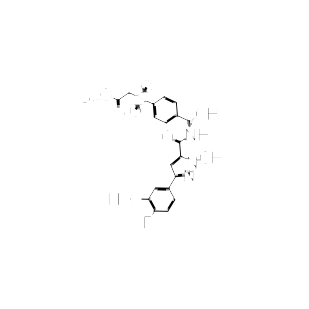 Cc1cc(-c2cc(C(=O)N[C@H](C)c3ccc(S(=O)(=O)CC(=O)OC(C)C)cc3)n(C)n2)ccc1F